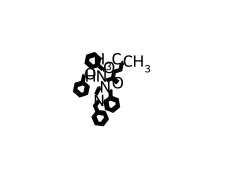 CC(C)CCC(=O)C(NC(=O)c1ccccc1OCc1ccccc1)N1CCN(Cc2ccccc2)c2ccccc2C1